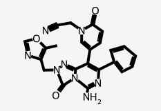 Cc1ocnc1Cn1nc2c(-c3ccc(=O)n(CC#N)c3)c(-c3ccccc3)nc(N)n2c1=O